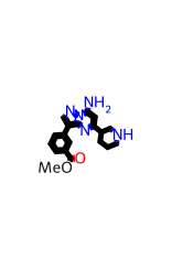 COC(=O)c1cccc(-c2cnn3c(N)cc(C4CCCNC4)nc23)c1